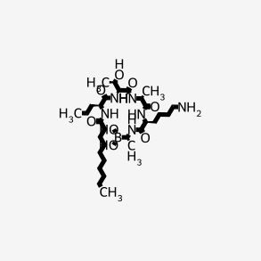 CCCCCCCCCC(=O)N[C@@H](CCC)C(=O)N[C@H](C(=O)N[C@@H](C)C(=O)N[C@@H](CCCCN)C(=O)N[C@@H](C)B(O)O)[C@@H](C)O